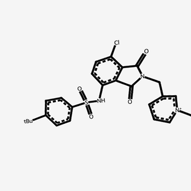 C[n+]1cccc(CN2C(=O)c3c(Cl)ccc(NS(=O)(=O)c4ccc(C(C)(C)C)cc4)c3C2=O)c1